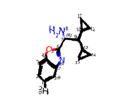 [2H]c1ccc2oc([C@H](N)C(C3CC3)C3CC3)nc2c1